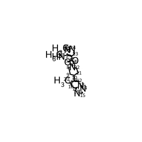 CNc1c(S(=O)(=O)N2CCC(c3cn4ncnc4cc3C)CC2)cnn1C